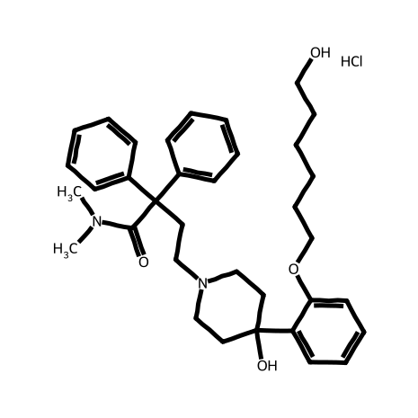 CN(C)C(=O)C(CCN1CCC(O)(c2ccccc2OCCCCCCO)CC1)(c1ccccc1)c1ccccc1.Cl